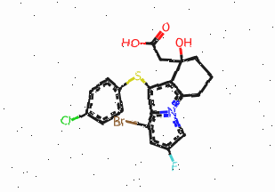 O=C(O)CC1(O)CCCc2c1c(Sc1ccc(Cl)cc1)c1c(Br)cc(F)cn21